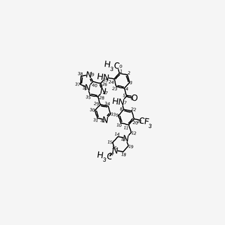 Cc1ccc(C(=O)Nc2ccc(CN3CCN(C)CC3)c(C(F)(F)F)c2)cc1Nc1nc(-c2ccncc2)cn2ccnc12